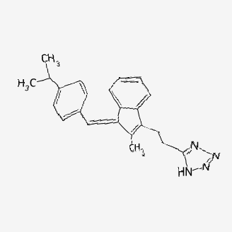 CC1=C(CCc2nnn[nH]2)c2ccccc2/C1=C\c1ccc(C(C)C)cc1